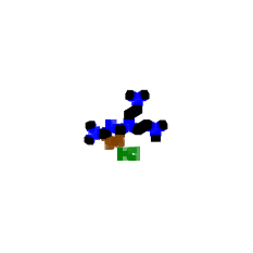 CN(C)CCN(CCN(C)C)C1N=C(N(C)C)SS1.Cl